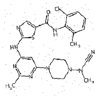 Cc1nc(Nc2ncc(C(=O)Nc3c(C)cccc3Cl)s2)cc(N2CCN(N(C)C#N)CC2)n1